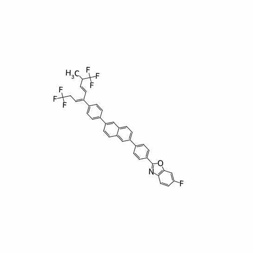 CC(C=C/C(=C\CC(F)(F)F)c1ccc(-c2ccc3cc(-c4ccc(-c5nc6ccc(F)cc6o5)cc4)ccc3c2)cc1)C(F)(F)F